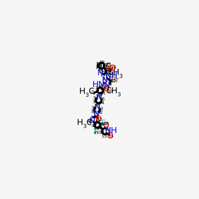 CCc1cc(Nc2ncc(Br)c(Nc3cnc4ccccc4c3P(C)(C)=O)n2)c(OC)cc1N1CCC(N2CCN(C(=O)CN(C)c3cc(F)c(C4CCC(=O)NC4=O)c(F)c3)CC2)CC1